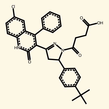 CC(C)(C)c1ccc(C2CC(c3c(-c4ccccc4)c4cc(Cl)ccc4[nH]c3=O)=NN2C(=O)CCC(=O)O)cc1